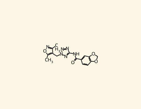 Cc1noc(C)c1Cn1nnc(NC(=O)c2ccc3c(c2)OCO3)n1